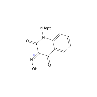 CCCCCCCN1C(=O)/C(=N/O)C(=O)c2ccccc21